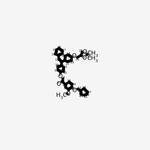 COc1cc(C(=O)COc2ccc(/C(=C/c3ccccc3)c3ccc(OCC4COC(C)(C)O4)cc3)cc2)ccc1OCc1ccccc1